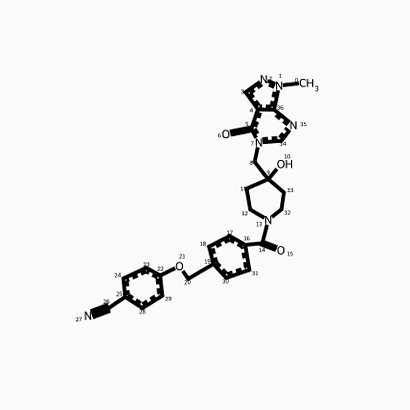 Cn1ncc2c(=O)n(CC3(O)CCN(C(=O)c4ccc(COc5ccc(C#N)cc5)cc4)CC3)cnc21